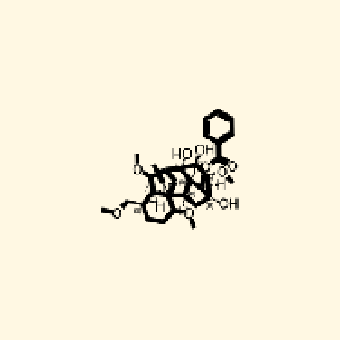 COC[C@@]12CCC(OC)C34C(C(C(OC)[C@@H]31)[C@]1(O)[C@@H]3[C@H]4C[C@@](O)([C@@H]3OC(=O)c3ccccc3)[C@@H](OC)[C@@H]1O)N(C)C2